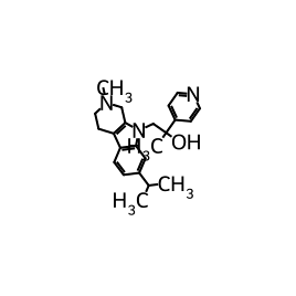 CC(C)c1ccc2c3c(n(CC(C)(O)c4ccncc4)c2c1)CN(C)CC3